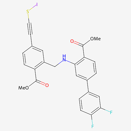 COC(=O)c1ccc(C#CSI)cc1CNc1cc(-c2ccc(F)c(F)c2)ccc1C(=O)OC